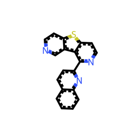 c1ccc2nc(-c3nccc4sc5ccncc5c34)ccc2c1